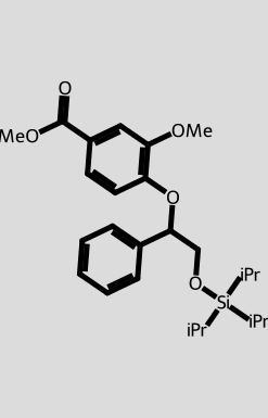 COC(=O)c1ccc(OC(CO[Si](C(C)C)(C(C)C)C(C)C)c2ccccc2)c(OC)c1